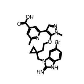 Cc1cc(C(=O)O)cc(-c2cnn(C)c2OCCC2(Cn3c(=N)[nH]c4ccc(Br)cc43)CC2)n1